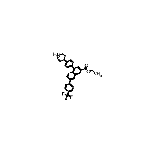 CCOC(=O)c1cc(-c2ccc(C3CCNCC3)cc2)c2ccc(-c3ccc(C(F)(F)F)cc3)cc2c1